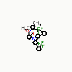 Cc1cc(C)c(N2C(=O)c3cccc(-n4c5ccc(-c6ccccc6C(F)(F)F)cc5c5cc(-c6ccccc6C(F)(F)F)ccc54)c3C2=O)c(C)c1